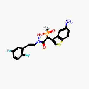 CP(=O)(O)C(C(=O)N/C=C/c1cc(F)ccc1F)c1csc2ccc(N)cc12